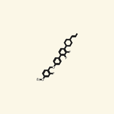 C/C=C/C1CCC(c2ccc(-c3ccc(OCc4ccc(OCC)cc4F)cc3)c(F)c2F)CC1